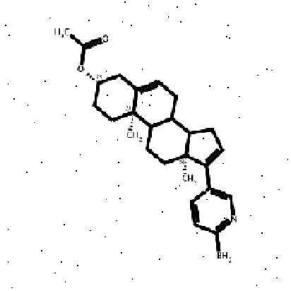 Bc1ccc(C2=CCC3C4CC=C5C[C@@H](OC(C)=O)CC[C@]5(C)C4CC[C@]23C)cn1